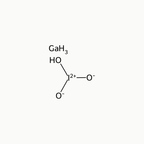 [GaH3].[O-][I+2]([O-])O